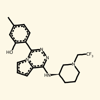 Cc1ccc(-c2nnc(N[C@@H]3CCCN(CC(F)(F)F)C3)c3cccn23)c(O)c1